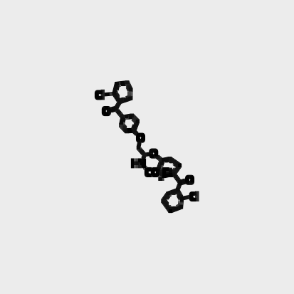 CCOC(=O)NC(COc1ccc(C(=O)c2ccccc2Cl)cc1)Oc1ccc(C(=O)c2ccccc2Cl)cc1